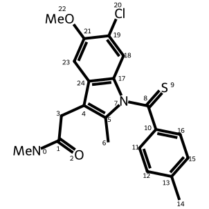 CNC(=O)Cc1c(C)n(C(=S)c2ccc(C)cc2)c2cc(Cl)c(OC)cc12